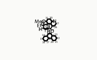 CC[C@H]1CN2CC[C@H]1C[C@H]2[C@H](Oc1cc2ccccc2c2ccccc12)c1ccnc2ccc(OC)cc12